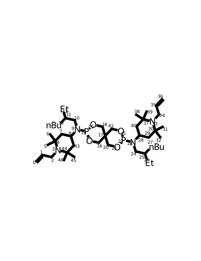 C=CCN1C(C)(C)CC(N(CC(CC)CCCC)P2OCC3(CO2)COP(N(CC(CC)CCCC)C2CC(C)(C)N(CC=C)C(C)(C)C2)OC3)CC1(C)C